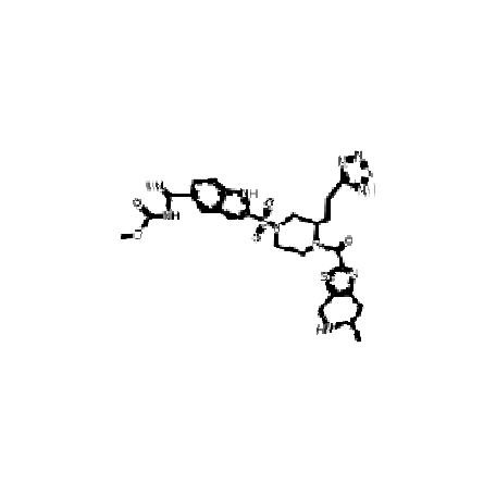 COC(=O)NC(=N)c1ccc2[nH]c(S(=O)(=O)N3CCN(C(=O)c4nc5c(s4)CNC(C)C5)C(CCc4nnn[nH]4)C3)cc2c1